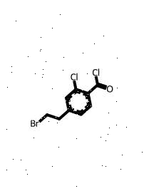 O=C(Cl)c1ccc(CCBr)cc1Cl